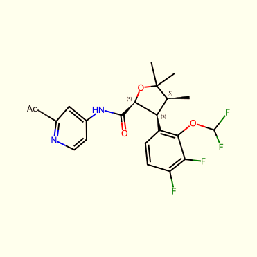 CC(=O)c1cc(NC(=O)[C@H]2OC(C)(C)[C@@H](C)[C@H]2c2ccc(F)c(F)c2OC(F)F)ccn1